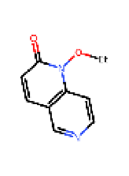 CCOn1c(=O)ccc2cnccc21